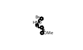 COc1ccccc1Oc1cccc(CN2CC[C@H](NC(=O)Cc3ccccc3Br)C2)c1